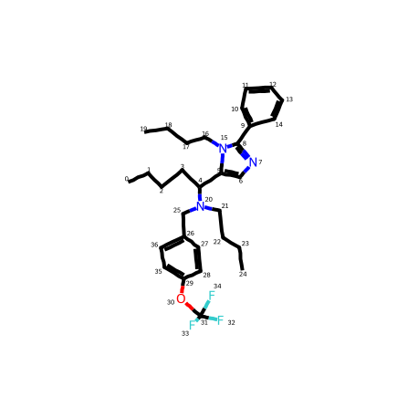 CCCCC(c1cnc(-c2ccccc2)n1CCCC)N(CCCC)Cc1ccc(OC(F)(F)F)cc1